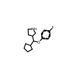 Fc1ccc(OC(C2CCCC2)C2CCNC2)cc1